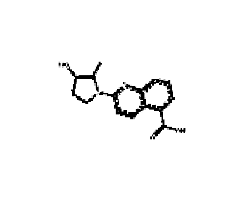 CC1C(O)CCN1c1ccc2c(C(=O)O)cccc2n1